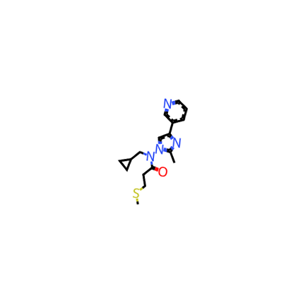 CSCCC(=O)N(CC1CC1)n1cc(-c2cccnc2)nc1C